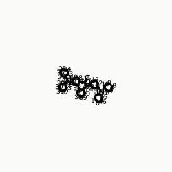 C1=CCC(N(c2ccccc2)c2ccc3sc4c5ccc(N(c6ccccc6)c6ccccc6)cc5c5ccccc5c4c3c2)C=C1